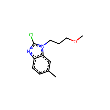 COCCCn1c(Cl)nc2ccc(C)cc21